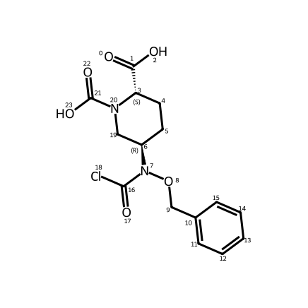 O=C(O)[C@@H]1CC[C@@H](N(OCc2ccccc2)C(=O)Cl)CN1C(=O)O